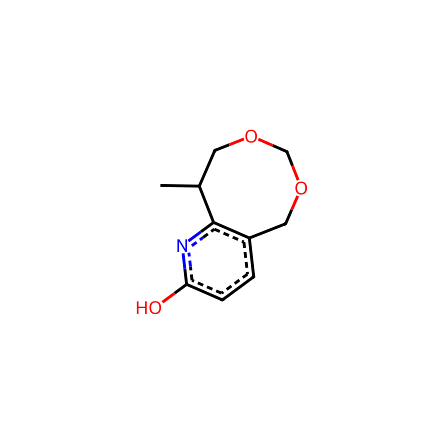 CC1COCOCc2ccc(O)nc21